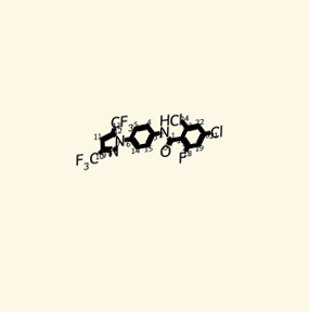 O=C(Nc1ccc(-n2nc(C(F)(F)F)cc2C(F)(F)F)cc1)c1c(F)cc(Cl)cc1Cl